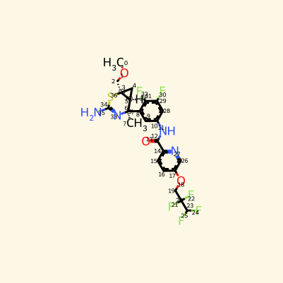 COC[C@]12C[C@H]1[C@@](C)(c1cc(NC(=O)c3ccc(OCC(F)(F)C(F)F)cn3)cc(F)c1F)N=C(N)S2